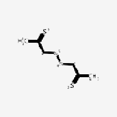 CC(=S)CSSCC(C)=S